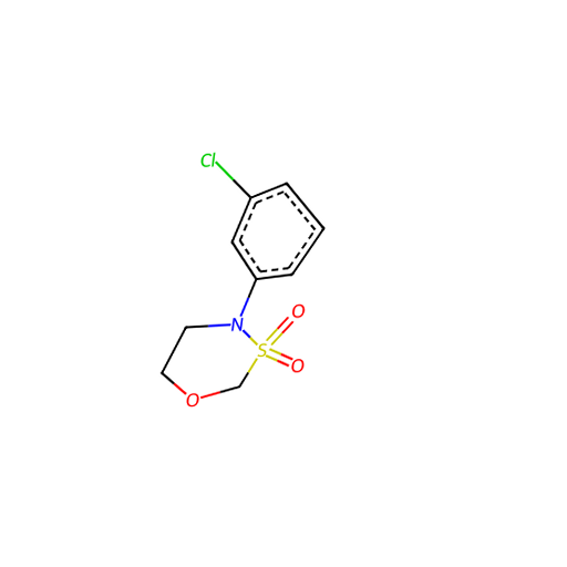 O=S1(=O)COCCN1c1cccc(Cl)c1